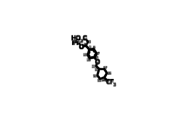 CC(C)O[C@@H](CC(=O)O)c1ccc(OCC2CCC(C(F)(F)F)CC2)cc1